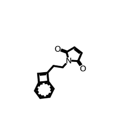 O=C1C=CC(=O)N1CCC1=Cc2ccccc21